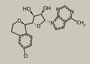 Cc1ncnc2c1ccn2[C@@H]1O[C@H]([C@@H]2OCCc3cc(Cl)ccc32)[C@@H](O)[C@H]1O